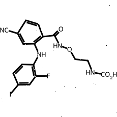 N#Cc1ccc(C(=O)NOCCNC(=O)O)c(Nc2ccc(I)cc2F)c1